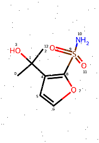 CC(C)(O)c1ccoc1S(N)(=O)=O